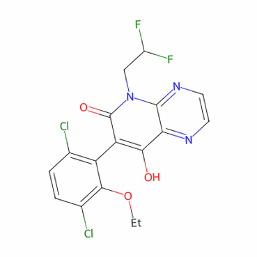 CCOc1c(Cl)ccc(Cl)c1-c1c(O)c2nccnc2n(CC(F)F)c1=O